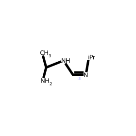 CC(C)/N=C\NC(C)N